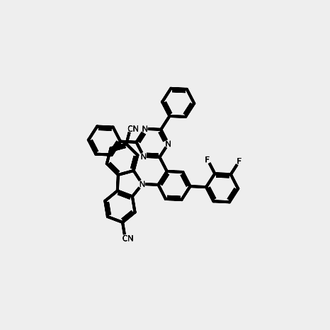 N#Cc1ccc2c3ccc(C#N)cc3n(-c3ccc(-c4cccc(F)c4F)cc3-c3nc(-c4ccccc4)nc(-c4ccccc4)n3)c2c1